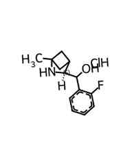 CC12CC(C1)[C@@H](C(O)c1ccccc1F)N2.Cl